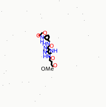 COC(=O)CCCC(=O)Nc1c[nH]c2c(C(=O)NCc3ccc4c(c3)NC(=O)CO4)ncnc12